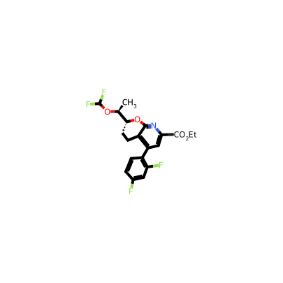 CCOC(=O)c1cc(-c2ccc(F)cc2F)c2c(n1)O[C@@H]([C@H](C)OC(F)F)CC2